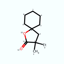 CCC1(C)CC2(CCCCC2)OC1=O